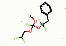 CCOC(F)(OCC(F)F)O[Si](F)(F)Cc1ccccc1